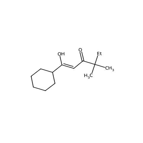 CCC(C)(C)C(=O)/C=C(\O)C1CCCCC1